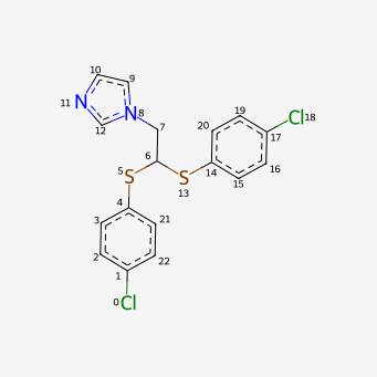 Clc1ccc(SC(Cn2ccnc2)Sc2ccc(Cl)cc2)cc1